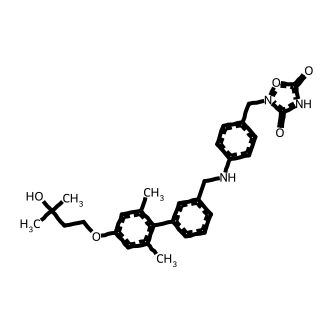 Cc1cc(OCCC(C)(C)O)cc(C)c1-c1cccc(CNc2ccc(Cn3oc(=O)[nH]c3=O)cc2)c1